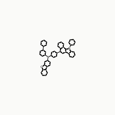 c1ccc(-c2cccc(N(c3ccc(-c4cc5c6ccccc6n(-c6ccccc6)c5c5ccccc45)cc3)c3ccc4c(c3)oc3ccccc34)c2)cc1